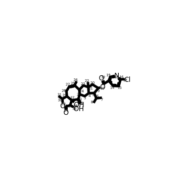 C=C1C2CC3C(C(C)C)C(OC(=O)c4ccc(Cl)nc4)CC3(C)CC2C(C)=CCC2C(C)OC(=O)C(O)C12O